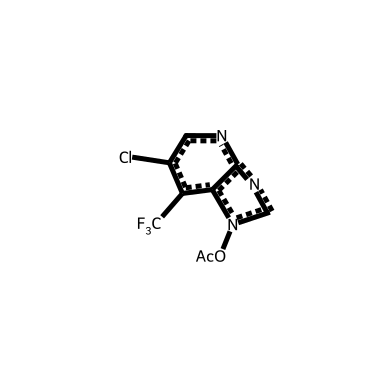 CC(=O)On1cnc2ncc(Cl)c(C(F)(F)F)c21